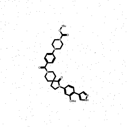 COc1cc(N2CCC3(CCN(C(=O)c4ccc(N5CCN(C(=O)OC(C)(C)C)CC5)cc4)CC3)C2=O)ccc1-c1cn[nH]c1